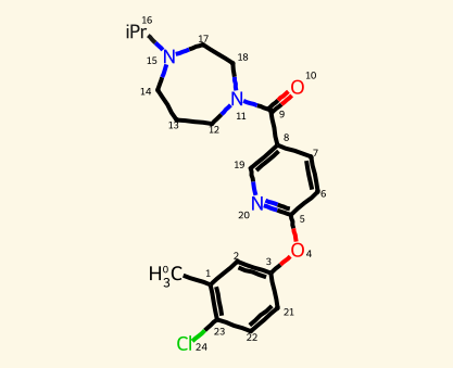 Cc1cc(Oc2ccc(C(=O)N3CCCN(C(C)C)CC3)cn2)ccc1Cl